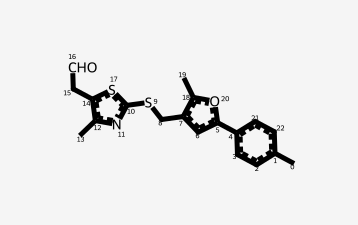 Cc1ccc(-c2cc(CSc3nc(C)c(CC=O)s3)c(C)o2)cc1